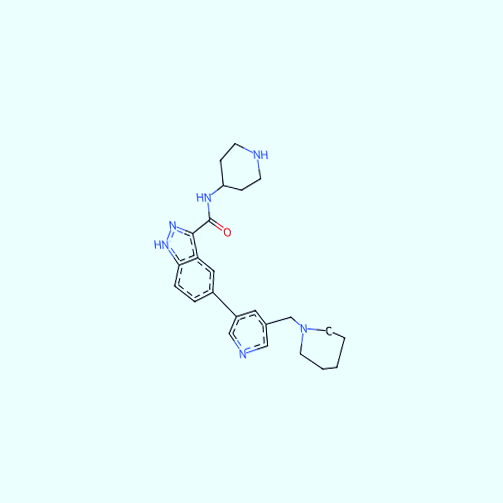 O=C(NC1CCNCC1)c1n[nH]c2ccc(-c3cncc(CN4CCCCC4)c3)cc12